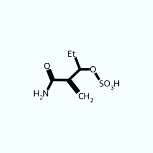 C=C(C(N)=O)C(CC)OS(=O)(=O)O